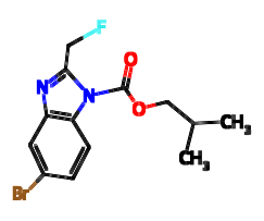 CC(C)COC(=O)n1c(CF)nc2cc(Br)ccc21